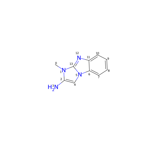 Cn1c(N)cn2c3ccccc3nc12